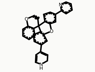 C1=CC(c2ccc3c(c2)Oc2cc(-c4ccccn4)ccc2C32c3ccccc3Oc3ccccc32)=CCN1